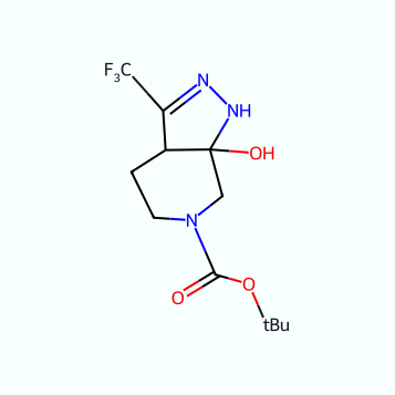 CC(C)(C)OC(=O)N1CCC2C(C(F)(F)F)=NNC2(O)C1